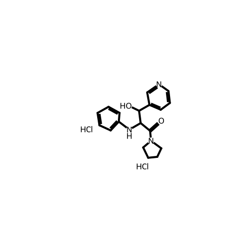 Cl.Cl.O=C(C(Nc1ccccc1)C(O)c1cccnc1)N1CCCC1